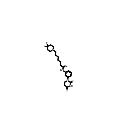 O=C1CCN(c2cccc(NC(=O)CCCCCCN3CCC(F)(F)CC3)c2)C(=O)N1